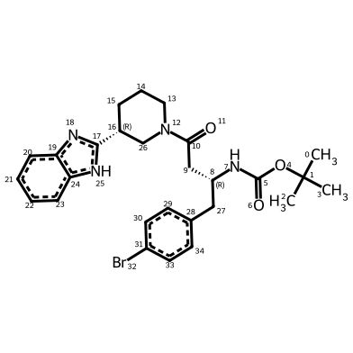 CC(C)(C)OC(=O)N[C@@H](CC(=O)N1CCC[C@@H](c2nc3ccccc3[nH]2)C1)Cc1ccc(Br)cc1